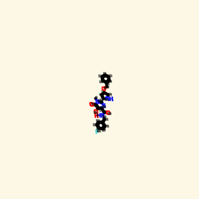 Cn1c([C@@H]2C[C@@H](OCc3ccccc3)CN2)nc(C(=O)NCc2ccc(F)cc2)c(O)c1=O